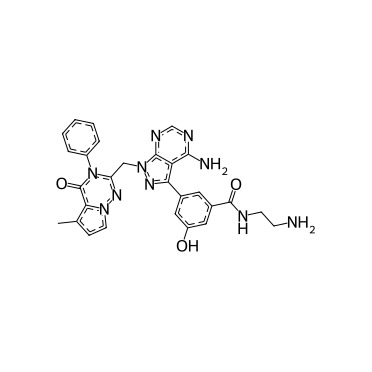 Cc1ccn2nc(Cn3nc(-c4cc(O)cc(C(=O)NCCN)c4)c4c(N)ncnc43)n(-c3ccccc3)c(=O)c12